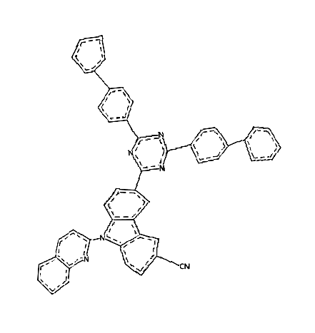 N#Cc1ccc2c(c1)c1cc(-c3nc(-c4ccc(-c5ccccc5)cc4)nc(-c4ccc(-c5ccccc5)cc4)n3)ccc1n2-c1ccc2ccccc2n1